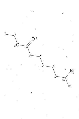 CCOC(=O)CCCCCC(C)Br